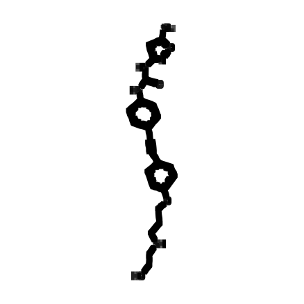 CC(C)(C)c1cc(NC(=O)Nc2ccc(C#Cc3ccc(OCCCNCCO)cc3)cc2)no1